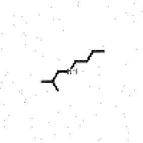 [CH2]C(C)CNCCCC